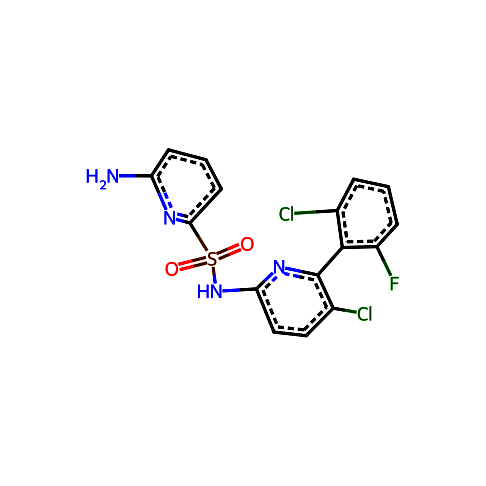 Nc1cccc(S(=O)(=O)Nc2ccc(Cl)c(-c3c(F)cccc3Cl)n2)n1